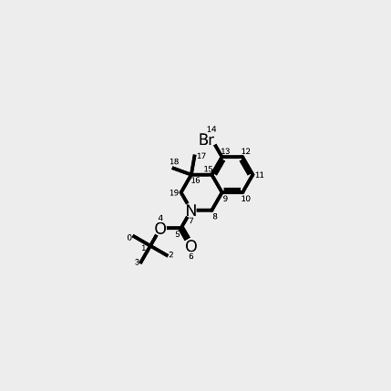 CC(C)(C)OC(=O)N1Cc2cccc(Br)c2C(C)(C)C1